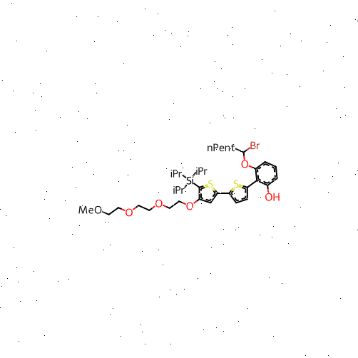 CCCCCC(Br)Oc1cccc(O)c1-c1ccc(-c2cc(OCCOCCOCCOC)c([Si](C(C)C)(C(C)C)C(C)C)s2)s1